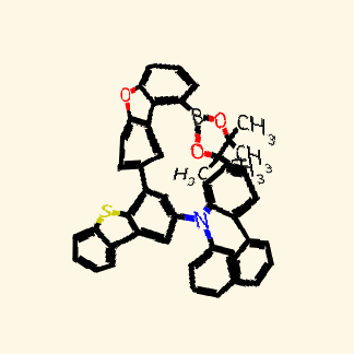 CC1(C)OB(c2cccc3oc4ccc(-c5cc(N(c6ccccc6)c6ccccc6-c6ccccc6)cc6c5sc5ccccc56)cc4c23)OC1(C)C